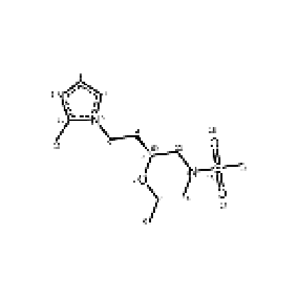 CCO[C@@H](CCn1ccnc1C)CN(C)S(C)(=O)=O